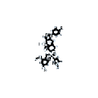 COc1ccc(CN([C@H]2CCC3=Cc4c(cnn4-c4ccc(F)cc4)C[C@]3(C(=O)O)C2)S(=O)(=O)c2ccn(C)n2)c(OC)c1